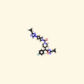 O=C(N1CCC([C@H](c2ccc(F)cc2)c2nc(C3CC3)no2)CC1)N1CC2(CC(n3cnc(C4CC4)n3)C2)C1